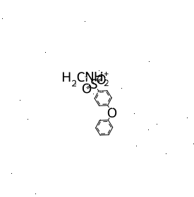 [CH2-][NH2+]S(=O)(=O)c1ccc(Oc2ccccc2)cc1